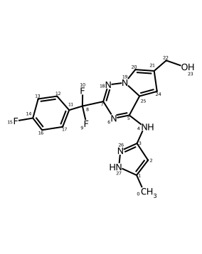 Cc1cc(Nc2nc(C(F)(F)c3ccc(F)cc3)nn3cc(CO)cc23)n[nH]1